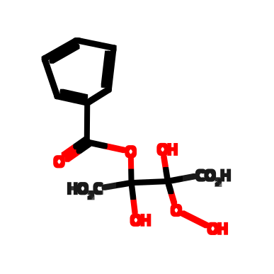 O=C(OC(O)(C(=O)O)C(O)(OO)C(=O)O)c1ccccc1